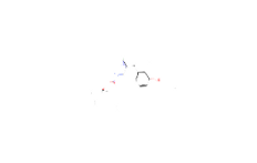 COc1cccc(C(C)/C(=C\Cl)CNC(=O)OC(C)(C)C)c1